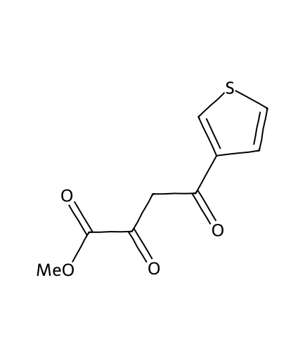 COC(=O)C(=O)CC(=O)c1ccsc1